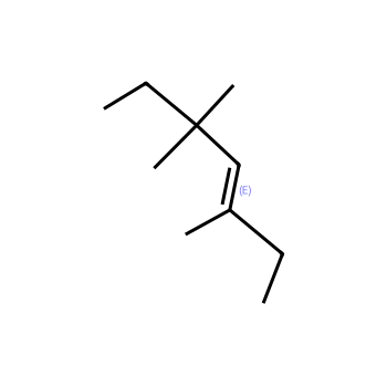 CC/C(C)=C/C(C)(C)CC